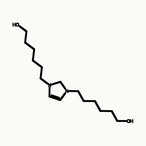 OCCCCCCN1C=CN(CCCCCCO)C1